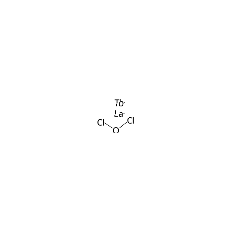 ClOCl.[La].[Tb]